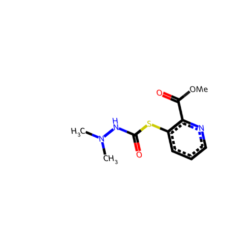 COC(=O)c1ncccc1SC(=O)NN(C)C